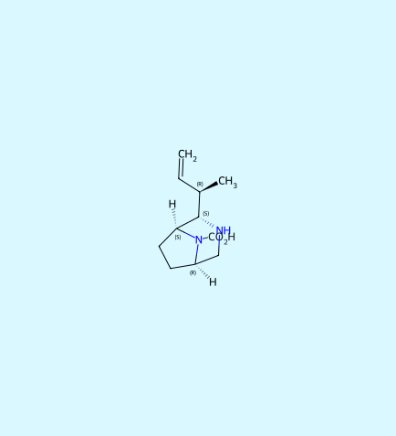 C=C[C@@H](C)[C@@H]1NC[C@H]2CC[C@@H]1N2C(=O)O